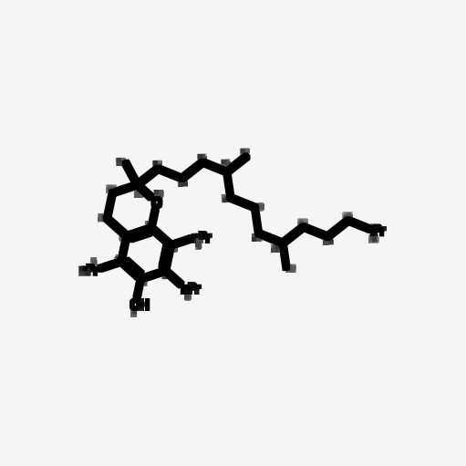 CCCc1c(O)c(CCC)c2c(c1CCC)OC(C)(CCCC(C)CCCC(C)CCCC(C)C)CC2